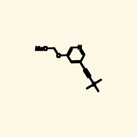 COCOc1cncc(C#C[Si](C)(C)C)c1